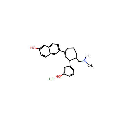 CN(C)CC1CCCC(c2ccc3cc(O)ccc3c2)=CC1c1cccc(O)c1.Cl